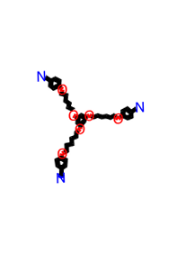 N#Cc1ccc(OCCCCCCOc2cc(OCCCCCCOc3ccc(C#N)cc3)cc(OCCCCCCOc3ccc(C#N)cc3)c2)cc1